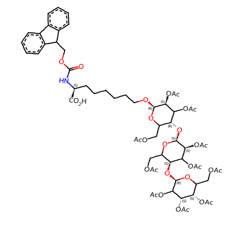 CC(=O)OCC1O[C@@H](OCCCCCC[C@H](NC(=O)OCC2c3ccccc3-c3ccccc32)C(=O)O)[C@@H](OC(C)=O)C(OC(C)=O)[C@@H]1O[C@@H]1OC(COC(C)=O)[C@H](O[C@H]2OC(COC(C)=O)[C@H](OC(C)=O)[C@H](OC(C)=O)C2OC(C)=O)C(OC(C)=O)[C@@H]1OC(C)=O